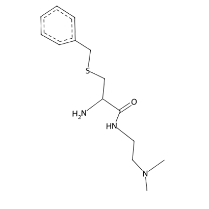 CN(C)CCNC(=O)C(N)CSCc1ccccc1